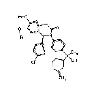 COc1cc2c(cc1OC(C)C)[C@H](c1ccc(Cl)cc1)N(c1ccc(C(C)(O)C3CCCN(C)C3)cc1)C(=O)C2